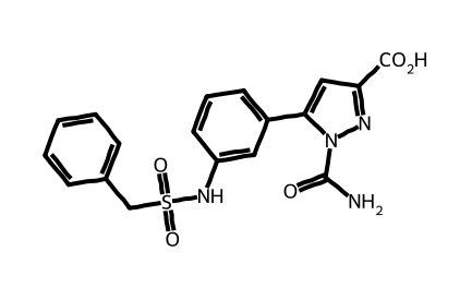 NC(=O)n1nc(C(=O)O)cc1-c1cccc(NS(=O)(=O)Cc2ccccc2)c1